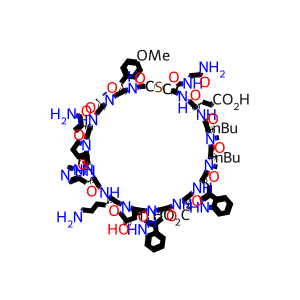 C=C(C(N)=O)[C@@H]1NC(=O)[C@H](C)N(C)C(=O)[C@H](Cc2ccc(OC)cc2)NC(=O)CSC[C@@H](C(=O)NCC(N)=O)NC(=O)[C@H](CCC(=O)O)NC(=O)[C@H](CCCC)N(C)C(=O)[C@H](CCCC)N(C)C(=O)[C@H](Cc2c[nH]c3ccccc23)NC(=O)[C@H](CC(=O)O)NC(=O)[C@H](Cc2c[nH]c3ccccc23)NC(=O)[C@@H]2C[C@@H](O)CN2C(=O)[C@H](CCCCN)NC(=O)[C@H](Cc2cnc[nH]2)NC(=O)[C@@H]2CCCN2C1=O